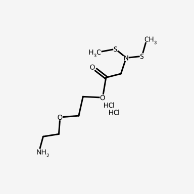 CSN(CC(=O)OCCOCCN)SC.Cl.Cl